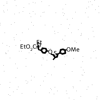 CCOC(=O)[C@H](Cc1ccc(OCc2sc(-c3ccc(OC)cc3)cc2C)cc1)OCC